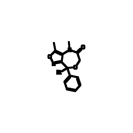 CCC1(c2ccccc2)OCC(=O)N(C)c2c1noc2C